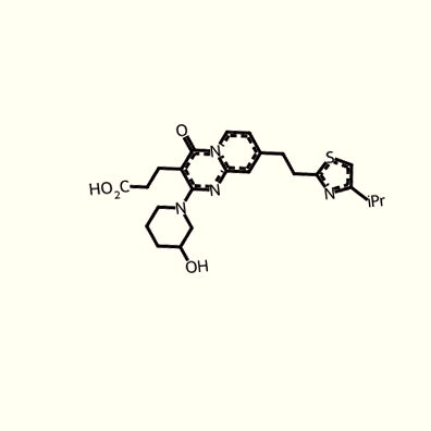 CC(C)c1csc(CCc2ccn3c(=O)c(CCC(=O)O)c(N4CCCC(O)C4)nc3c2)n1